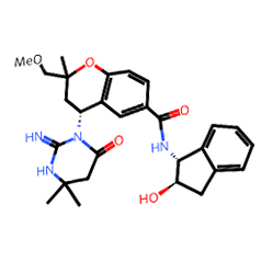 COCC1(C)C[C@@H](N2C(=N)NC(C)(C)CC2=O)c2cc(C(=O)N[C@@H]3c4ccccc4C[C@H]3O)ccc2O1